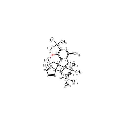 CC[Si](CC)(c1cc(C)cc(C(C)(C)C)c1OC)[C]1([Sc]([CH2][Si](C)(C)C)[CH2][Si](C)(C)C)C=CC=C1